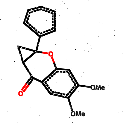 COc1cc2c(cc1OC)C(=O)C1CC1(c1ccccc1)O2